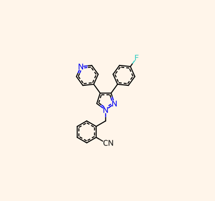 N#Cc1ccccc1Cn1cc(-c2ccncc2)c(-c2ccc(F)cc2)n1